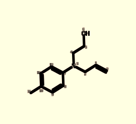 C=CCN(CCO)c1ccc(C)cc1